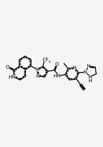 C#Cc1cc(NC(=O)c2cnn(-c3cccc4c(=O)[nH]ccc34)c2C(F)(F)F)c(C)nc1N1N=CCN1